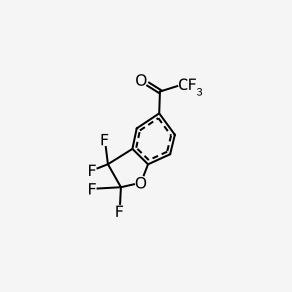 O=C(c1ccc2c(c1)C(F)(F)C(F)(F)O2)C(F)(F)F